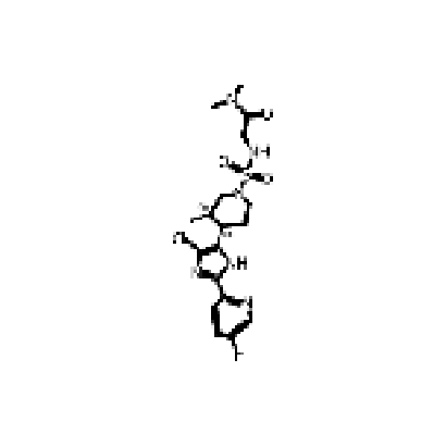 C[C@H]1CN(S(=O)(=O)NCC(=O)N(C)C)CC[C@H]1c1[nH]c(-c2ccc(F)cn2)nc1Cl